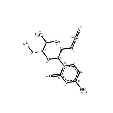 CC(O)[C@@H](CO)O[C@@H](CN=[N+]=[N-])n1ccc(N)nc1=O